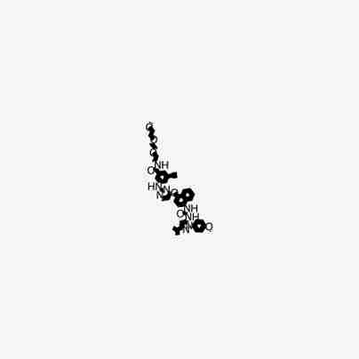 C#Cc1cc(Nc2nccc(Oc3ccc(NC(=O)Nc4cc(C(C)C)nn4-c4ccc(OC)cc4)c4ccccc34)n2)cc(C(=O)NCCOCCOCCOC)c1